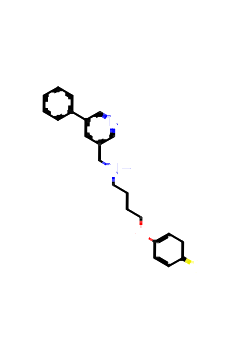 S=C1C=CC(OCCCCNCc2cncc(-c3ccccc3)c2)=CC1